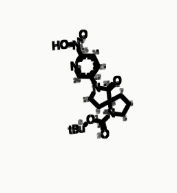 CC(C)(C)OC(=O)N1CCCC12CCN(c1ccc([N+](=O)O)nc1)C2=O